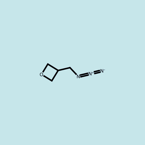 [N-]=[N+]=NCC1COC1